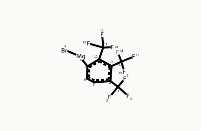 FC(F)(F)c1cc[c]([Mg][Br])c(C(F)(F)F)c1C(F)(F)F